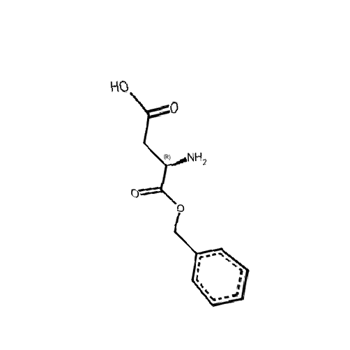 N[C@H](CC(=O)O)C(=O)OCc1ccccc1